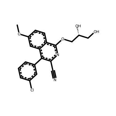 COc1ccc2c(OC[C@H](O)CO)nc(C#N)c(-c3cccc(Cl)c3)c2c1